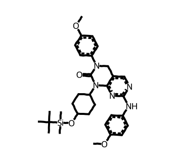 COc1ccc(Nc2ncc3c(n2)N(C2CCC(O[Si](C)(C)C(C)(C)C)CC2)C(=O)N(c2ccc(OC)cc2)C3)cc1